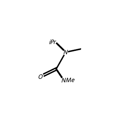 CNC(=O)N(C)C(C)C